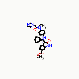 COC(=O)c1ccc2c(c1)NC(=O)/C2=C(\Nc1ccc(N(C)C(=O)Cn2ccnc2)cc1)c1ccccc1